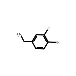 CCC(C)c1ccc(CN)cc1Cl